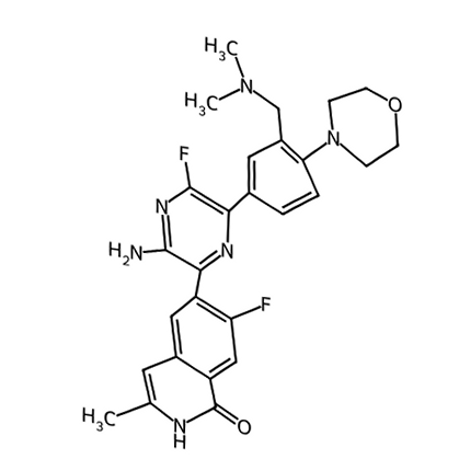 Cc1cc2cc(-c3nc(-c4ccc(N5CCOCC5)c(CN(C)C)c4)c(F)nc3N)c(F)cc2c(=O)[nH]1